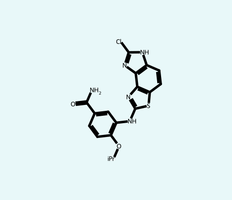 CC(C)Oc1ccc(C(N)=O)cc1Nc1nc2c(ccc3[nH]c(Cl)nc32)s1